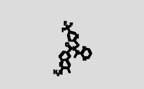 Cc1cc2cc(C(=O)N(Cc3ccc(C(F)(F)F)cn3)N(C)c3ncccn3)ccc2nc1N